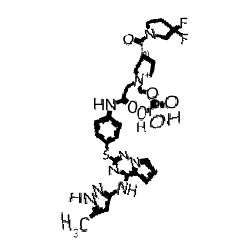 Cc1cc(Nc2nc(Sc3ccc(NC(=O)C[N+]4(COP(=O)(O)O)CC[C@@H](C(=O)N5CCC(F)(F)C5)C4)cc3)nn3cccc23)n[nH]1